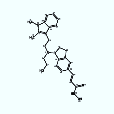 Cc1c(CCN(CCO)C2CCc3cc(C=CC(=O)NO)ccc32)c2ccccc2n1C